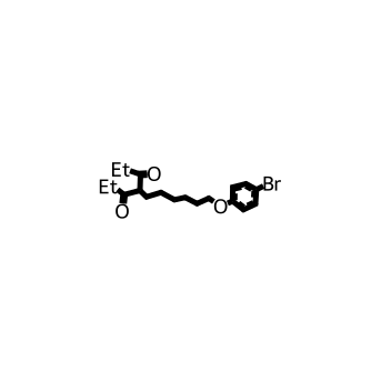 CCC(=O)C(CCCCCCOc1ccc(Br)cc1)C(=O)CC